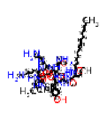 C#CCC(NC(=O)CCCCCCCCCCCCCCC)C(=O)NCC(=O)N[C@@H](Cc1ccc(O)cc1)C(=O)N[C@@H](CCC(N)=O)C(=O)N[C@@H](CCCCN)C(=O)N[C@@H](CCCCN)C(=O)N[C@@H](CC(C)C)C(=O)NC